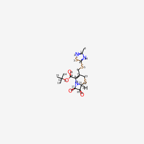 Cc1nsc(SCC2=C(C(=O)OC(C)(C)C)N3C(=O)C(=O)[C@@H]3SC2)n1